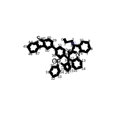 C=C/C=c1\c2n(c3ccccc13)-c1ccccc1C1(C=2C)c2ccccc2P(=O)(c2ccccc2)c2cc(-c3ccc4sc5ccccc5c4c3)ccc21